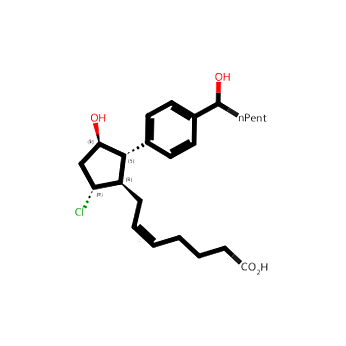 CCCCCC(O)c1ccc([C@@H]2[C@@H](C/C=C\CCCC(=O)O)[C@H](Cl)C[C@H]2O)cc1